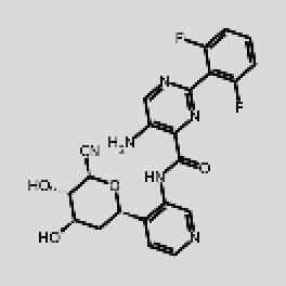 N#C[C@H]1O[C@@H](c2ccncc2NC(=O)c2nc(-c3c(F)cccc3F)ncc2N)C[C@@H](O)[C@@H]1O